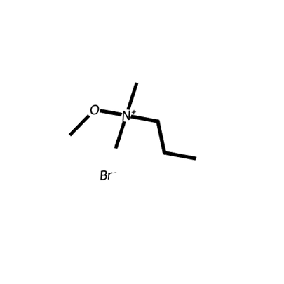 CCC[N+](C)(C)OC.[Br-]